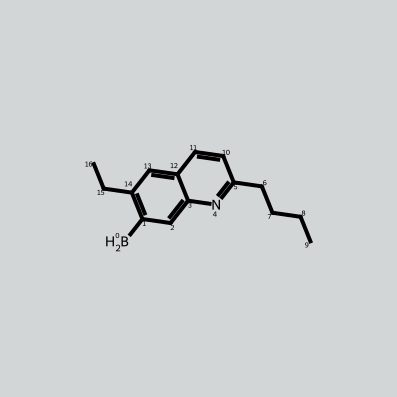 Bc1cc2nc(CCCC)ccc2cc1CC